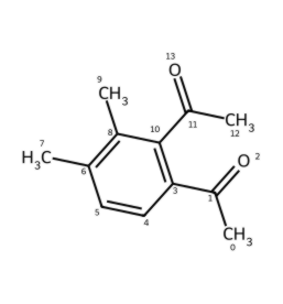 CC(=O)c1ccc(C)c(C)c1C(C)=O